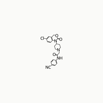 N#Cc1ccc(NC(=O)CN2CCC(N3C(=O)OCc4cc(Cl)ccc43)CC2)cc1